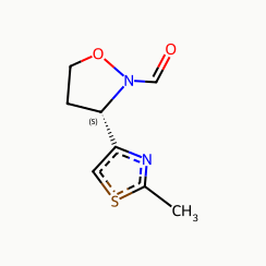 Cc1nc([C@@H]2CCON2C=O)cs1